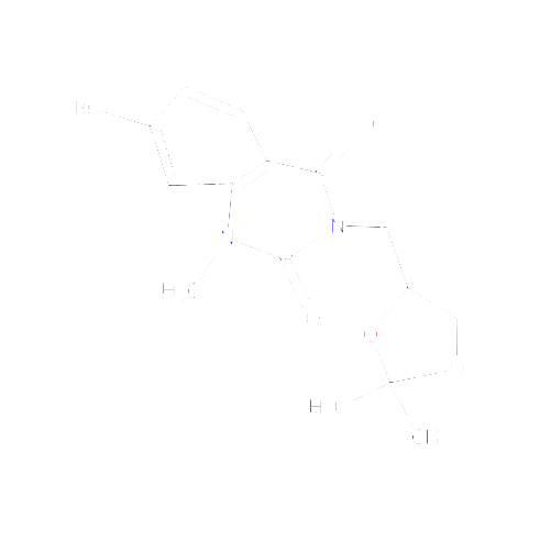 Cn1c(=O)n(CC2COC(C)(C)O2)c(=O)c2ccc(Br)cc21